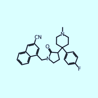 CN1CCC(c2ccc(F)cc2)(C2CCN(Cc3cc(C#N)cc4ccccc34)C2=O)CC1